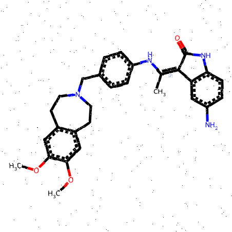 COc1cc2c(cc1OC)CCN(Cc1ccc(N/C(C)=C3\C(=O)Nc4ccc(N)cc43)cc1)CC2